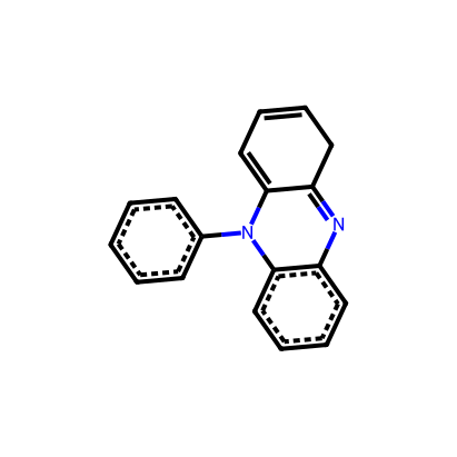 C1=CCC2=Nc3ccccc3N(c3ccccc3)C2=C1